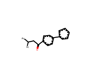 CC(=O)C(CC(=O)c1ccc(-c2ccccc2)cc1)C(C)=O